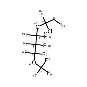 FC(F)(F)OC(F)(F)C(F)(F)C(F)(F)OC(F)(Cl)CI